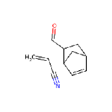 C=CC#N.O=CC1CC2C=CC1C2